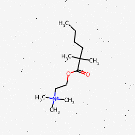 CCCCC(C)(C)C(=O)OCC[N+](C)(C)C